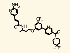 CC(CCOc1cc(-c2ccc(C(=O)N3CCC(F)(F)CC3)cn2)cc(C(F)(F)F)c1)NC(=O)C=Cc1ccc(N)nc1